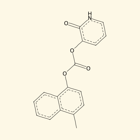 Cc1ccc(OC(=O)Oc2ccc[nH]c2=O)c2ccccc12